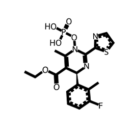 CCOC(=O)C1=C(C)N(OP(=O)(O)O)C(c2nccs2)=N[C@H]1c1cccc(F)c1C